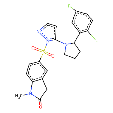 CN1C(=O)Cc2cc(S(=O)(=O)n3nccc3N3CCCC3c3cc(F)ccc3F)ccc21